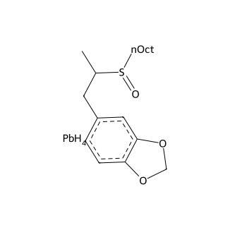 CCCCCCCCS(=O)C(C)Cc1ccc2c(c1)OCO2.[PbH4]